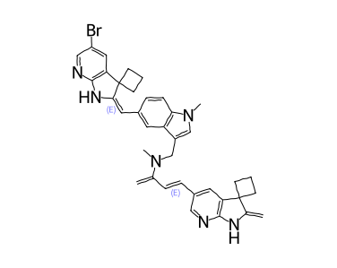 C=C(/C=C/c1cnc2c(c1)C1(CCC1)C(=C)N2)N(C)Cc1cn(C)c2ccc(/C=C3/Nc4ncc(Br)cc4C34CCC4)cc12